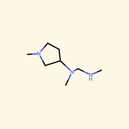 CNCN(C)C1CCN(C)C1